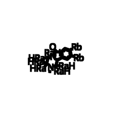 CN1[C]([RaH])([RaH])C2c3c[c]([Rb])[c]([Rb])cc3C(=O)N2[C]([RaH])([RaH])[C]1([RaH])[RaH]